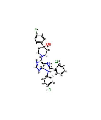 OC1(c2ccc(F)cc2)CCN(c2ncnc3c2nc(-c2ccccc2Cl)n3-c2ccc(Cl)cc2)CC1